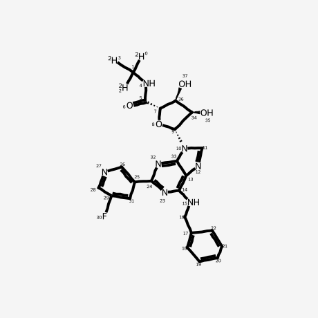 [2H]C([2H])([2H])NC(=O)[C@H]1O[C@@H](n2cnc3c(NCc4ccccc4)nc(-c4cncc(F)c4)nc32)[C@H](O)[C@@H]1O